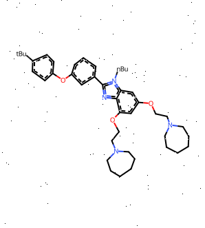 CCCCn1c(-c2cccc(Oc3ccc(C(C)(C)C)cc3)c2)nc2c(OCCN3CCCCCC3)cc(OCCN3CCCCCC3)cc21